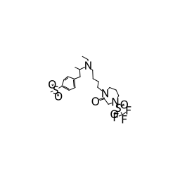 CCN(CCCCN1CCCN(S(=O)(=O)C(F)(F)F)CC1=O)C(C)Cc1ccc(S(C)(=O)=O)cc1